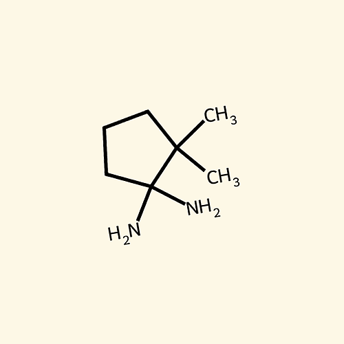 CC1(C)CCCC1(N)N